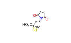 CC(=O)C(S)(CCN1C(=O)CCC1=O)C(=O)O